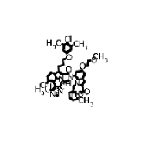 COCCOc1cc(N2C[C@@H](C)n3c(c(CCCOc4cc(C)c(Cl)c(C)c4)c4ccc(Cl)c(-c5c(C)ncnc5C)c43)C2=O)c2c(c1)cc(C(=O)O)n2Cc1cccc(C)n1